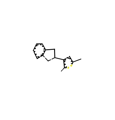 Cc1cc(C2Cc3ccccc3C2)c(C(=O)O)s1